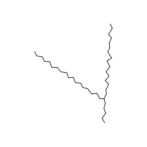 [CH2]CCCCC(CCCCCCCCCCCCCCCC)CCCCCCCCCCCCCCCCCC